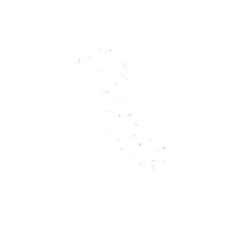 CC1(C)OCC(c2ncc(NC(=O)Nc3c[nH]c4ccc(Cl)cc34)cc2Cl)CO1